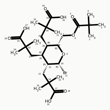 CC(C)(C)C(=O)OC[C@@H]1O[C@H](Br)[C@H](CC(C)(C)C(=O)O)[C@@H](CC(C)(C)C(=O)O)[C@H]1CC(C)(C)C(=O)O